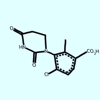 Cc1c(C(=O)O)ccc(Cl)c1N1CCC(=O)NC1=O